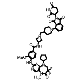 COc1cc(C(=O)NC2CN(CC3CCN(c4cccc5c4C(=O)N(C4CCC(=O)NC4=O)C5=O)CC3)C2)ccc1Nc1ncc2c(n1)N(C1CCCC1)CC(F)(F)C(=O)N2C